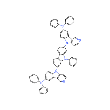 c1ccc(N(c2ccccc2)c2ccc3c(c2)c2cnccc2n3-c2ccc3c4ccc(-n5c6ccncc6c6cc(N(c7ccccc7)c7ccccc7)ccc65)cc4n(-c4ccccc4)c3c2)cc1